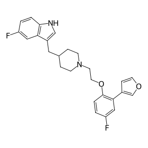 Fc1ccc(OCCN2CCC(Cc3c[nH]c4ccc(F)cc34)CC2)c(-c2ccoc2)c1